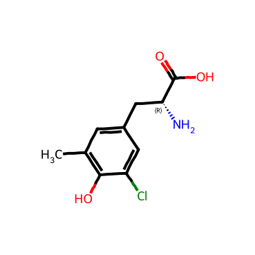 Cc1cc(C[C@@H](N)C(=O)O)cc(Cl)c1O